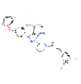 Nc1ncnc2c1c(-c1ccc(Oc3ccccc3)cc1)nn2C1CCCN(C(=O)C=Cc2cc(F)c(F)c(F)c2)C1